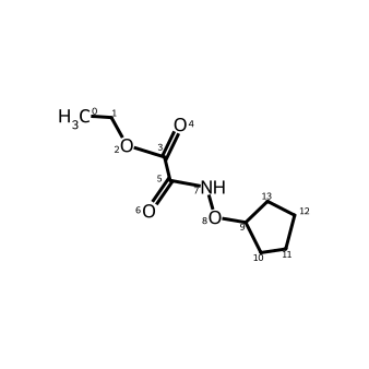 CCOC(=O)C(=O)NOC1CCCC1